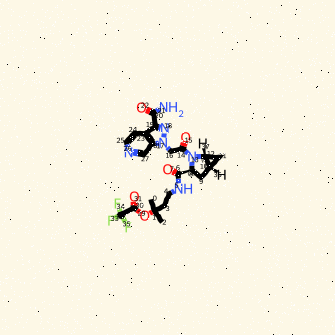 CC(C)(CCNC(=O)[C@@H]1C[C@H]2C[C@H]2N1C(=O)Cn1nc(C(N)=O)c2ccncc21)OC(=O)C(F)(F)F